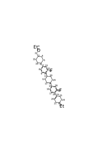 CCOCC1CCC(c2ccc(C3CCC(c4ccc(C5=CCC(CC)CC5)c(F)c4)CC3)c(F)c2)CC1